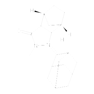 CN1C(=O)C2[C@@H]3CC[C@@H](C3)[C@H]2[N+]1=C1C2CC3CC(C2)CC1C3